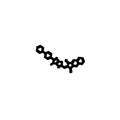 Cn1c(-c2ccc(-c3ccccc3)cc2)nc2sc(C=C3C(=O)c4cc5ccccc5cc4C3=O)nc21